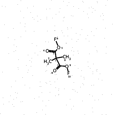 CC(C)(C(=O)OF)C(=O)OF